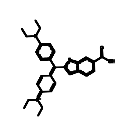 CCN(CC)c1ccc(C(=C2C=CC(=[N+](CC)CC)C=C2)c2cc3ccc(C(=O)O)cc3s2)cc1